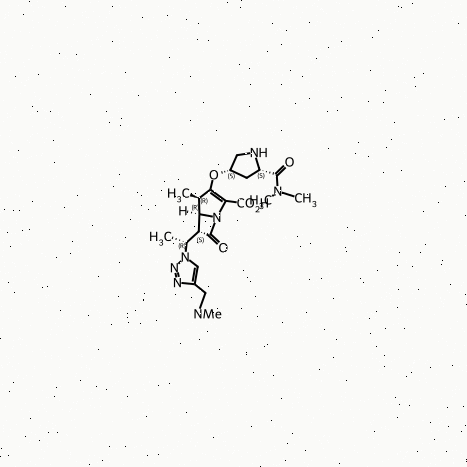 CNCc1cn([C@H](C)[C@H]2C(=O)N3C(C(=O)O)=C(O[C@@H]4CN[C@H](C(=O)N(C)C)C4)[C@H](C)[C@H]23)nn1